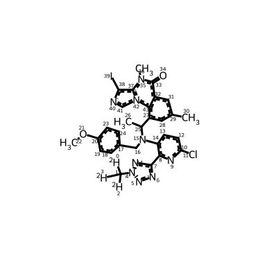 [2H]C([2H])([2H])n1nnc(-c2nc(Cl)ccc2N(Cc2ccc(OC)cc2)C(C)c2cc(C)cc3c(=O)n(C)c4c(I)ncn4c23)n1